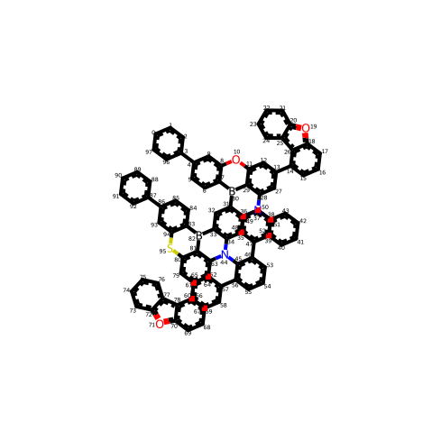 c1ccc(-c2ccc3c(c2)Oc2cc(-c4cccc5oc6ccccc6c45)cc4c2B3c2cc3c(cc2N4c2ccccc2)N(c2c(-c4ccccc4)cccc2-c2ccccc2)c2cc(-c4cccc5oc6ccccc6c45)cc4c2B3c2ccc(-c3ccccc3)cc2S4)cc1